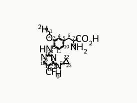 [2H]COc1cc(CC(N)C(=O)O)ccc1Nc1ncc(C(F)(F)F)c(NC2CC2)n1